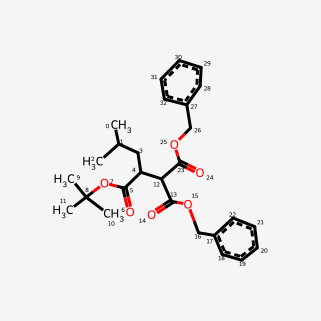 CC(C)CC(C(=O)OC(C)(C)C)C(C(=O)OCc1ccccc1)C(=O)OCc1ccccc1